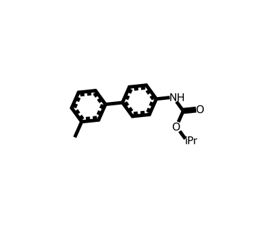 Cc1cccc(-c2ccc(NC(=O)OC(C)C)cc2)c1